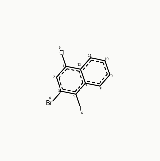 Clc1cc(Br)c(I)c2ccccc12